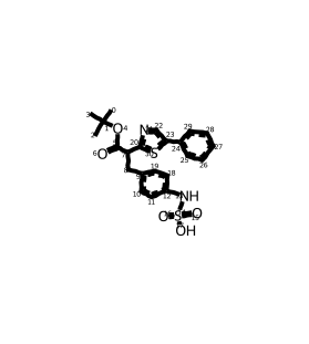 CC(C)(C)OC(=O)C(Cc1ccc(NS(=O)(=O)O)cc1)c1ncc(-c2ccccc2)s1